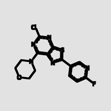 Fc1ccc(-c2nc3c(N4CCOCC4)nc(Cl)nc3s2)cn1